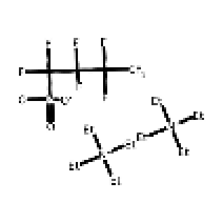 CC[N+](CC)(CC)CC.CC[N+](CC)(CC)CC.O=P([O-])([O-])C(F)(F)C(F)(F)C(F)(F)C(F)(F)F